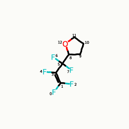 FC(F)=C(F)C(F)(F)C1CCCO1